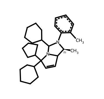 Cc1ccccc1N1C(C2CCCCC2)N2C(C=CC2(C2CCCCC2)C2CCCC2)[C@@H]1C